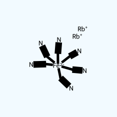 N#[C][Fe-2]([C]#N)([C]#N)([C]#N)([C]#N)[C]#N.[Rb+].[Rb+]